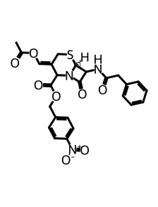 CC(=O)OC=C1CS[C@H]2C(NC(=O)Cc3ccccc3)C(=O)N2C1C(=O)OCc1ccc([N+](=O)[O-])cc1